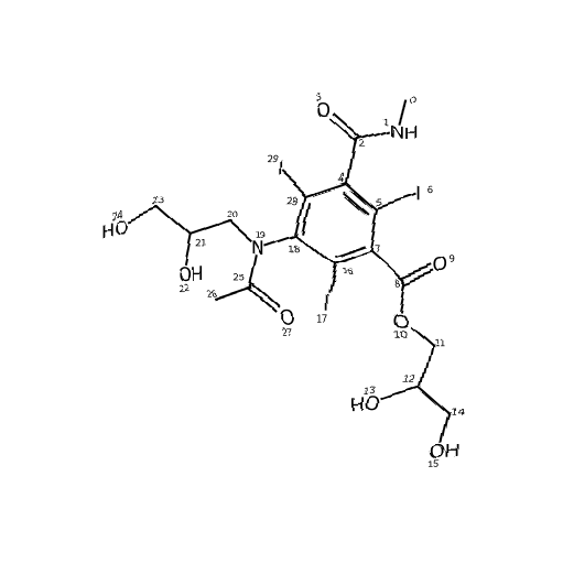 CNC(=O)c1c(I)c(C(=O)OCC(O)CO)c(I)c(N(CC(O)CO)C(C)=O)c1I